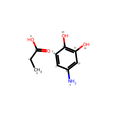 CCC(=O)O.Nc1ccc(O)c(O)c1